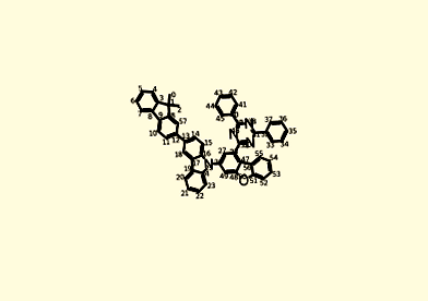 CC1(C)c2ccccc2-c2ccc(-c3ccc4c(c3)c3ccccc3n4-c3cc(-c4nc(-c5ccccc5)nc(-c5ccccc5)n4)c4c(c3)oc3ccccc34)cc21